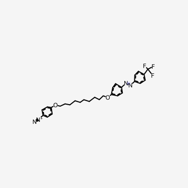 N#[N+]c1ccc(OCCCCCCCCCCOc2ccc(/N=N/c3ccc(C(F)(F)F)cc3)cc2)cc1